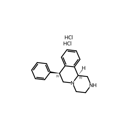 Cl.Cl.c1ccc([C@@H]2CN3CCNC[C@@H]3c3ccccc32)cc1